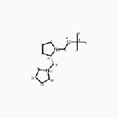 CC(C)(C)OCN1CCC[C@H]1CN1CCCC1